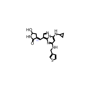 O=C1NC(O)C/C1=C\c1cnn2c(NC3CC3)cc(NCc3ccsc3)nc12